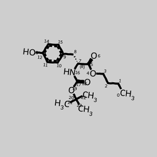 CCCCOC(=O)[C@@H](Cc1ccc(O)cc1)NC(=O)OC(C)(C)C